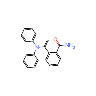 [CH]=C(c1ccccc1C(N)=O)N(c1ccccc1)c1ccccc1